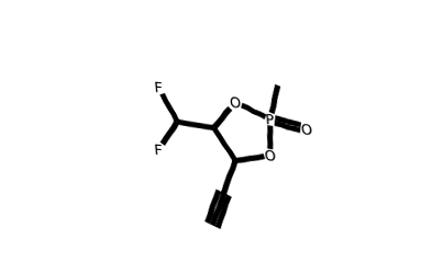 C#CC1OP(C)(=O)OC1C(F)F